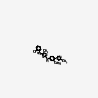 COc1cc(Nc2nc(Nc3ccccc3Cl)n(C)n2)ccc1-n1cnc(C)c1